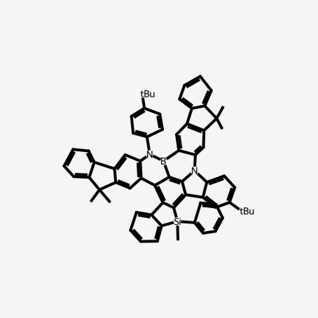 CC(C)(C)c1ccc(N2B3c4cc5c(cc4-n4c6ccc(C(C)(C)C)cc6c6c7c(c(c3c64)-c3cc4c(cc32)-c2ccccc2C4(C)C)-c2ccccc2[Si]7(C)c2ccccc2)C(C)(C)c2ccccc2-5)cc1